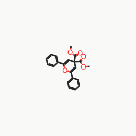 COC(=O)C1(C(=O)OC)C=C(c2ccccc2)OC(c2ccccc2)=C1